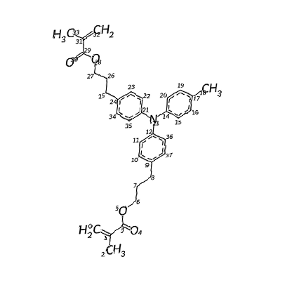 C=C(C)C(=O)OCCCc1ccc(N(c2ccc(C)cc2)c2ccc(CCCOC(=O)C(=C)C)cc2)cc1